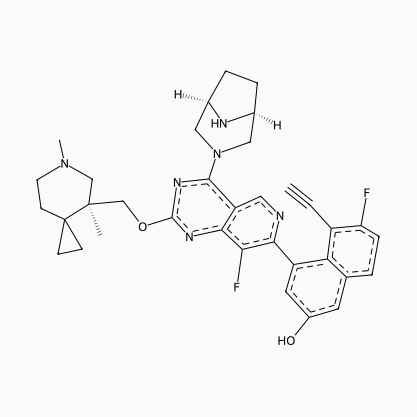 C#Cc1c(F)ccc2cc(O)cc(-c3ncc4c(N5C[C@H]6CC[C@@H](C5)N6)nc(OC[C@]5(C)CN(C)CCC56CC6)nc4c3F)c12